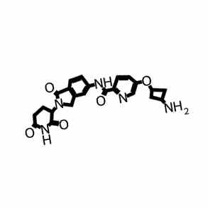 NC1CC(Oc2ccc(C(=O)Nc3ccc4c(c3)CN(C3CCC(=O)NC3=O)C4=O)nc2)C1